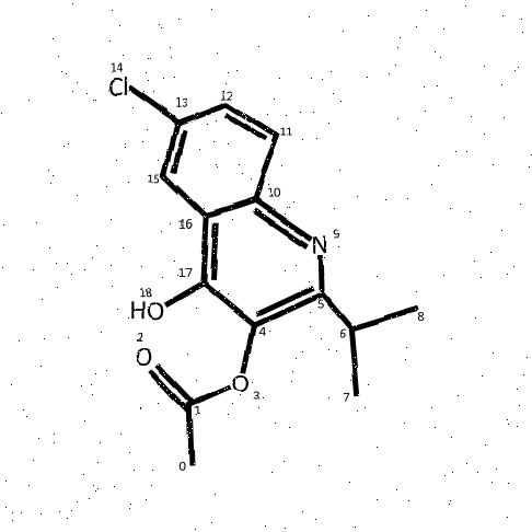 CC(=O)Oc1c(C(C)C)nc2ccc(Cl)cc2c1O